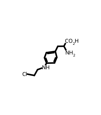 NC(Cc1ccc(NCCCl)cc1)C(=O)O